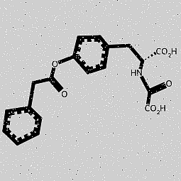 O=C(Cc1ccccc1)Oc1ccc(C[C@@H](NC(=O)C(=O)O)C(=O)O)cc1